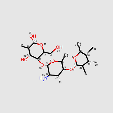 CCC1O[C@@H](O[C@@H]2C(CC)O[C@@H](O[C@@H]3C(CO)O[C@@H](O)C(C)[C@H]3O)C(N)[C@H]2C)C(C)[C@@H](C)[C@@H]1C